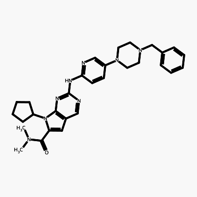 CN(C)C(=O)c1cc2cnc(Nc3ccc(N4CCN(Cc5ccccc5)CC4)cn3)nc2n1C1CCCC1